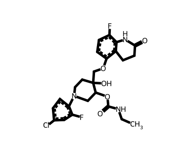 CCNC(=O)OC1CN(c2ccc(Cl)cc2F)CCC1(O)COc1ccc(F)c2c1CCC(=O)N2